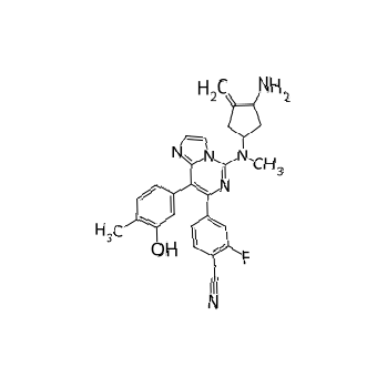 C=C1CC(N(C)c2nc(-c3ccc(C#N)c(F)c3)c(-c3ccc(C)c(O)c3)c3nccn23)CC1N